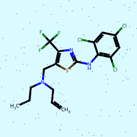 C=CCN(CCC)Cc1sc(Nc2c(Cl)cc(Cl)cc2Cl)nc1C(F)(F)F